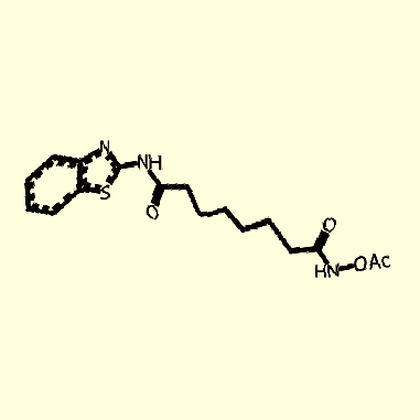 CC(=O)ONC(=O)CCCCCCC(=O)Nc1nc2ccccc2s1